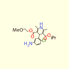 COCCOC(=O)C1=C(C)NC(C)=C(C(=O)OC(C)C)C1c1cc(N)ccc1Cl